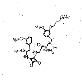 COCCCOc1cc(C[C@@H](C[C@H](N)[C@@H](O)CNc2c(NC(Cc3cccc(OC)c3)OC)c(=O)c2=O)C(C)C)ccc1OC